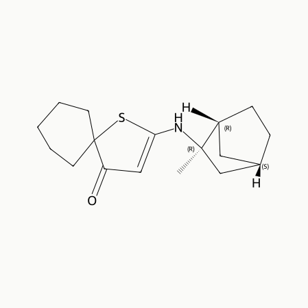 C[C@@]1(NC2=CC(=O)C3(CCCCC3)S2)C[C@H]2CC[C@@H]1C2